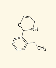 CCc1ccccc1C1NCC=CO1